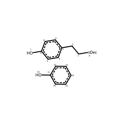 CCCCCCCCCCCCc1ccc(O)cc1.Oc1ccccc1